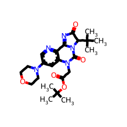 CC(C)(C)OC(=O)CN1C(=O)N2C(=NC(=O)C2C(C)(C)C)c2ncc(N3CCOCC3)cc21